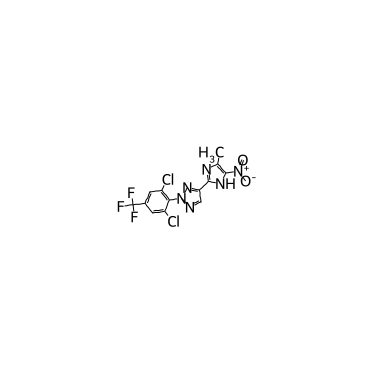 Cc1nc(-c2cnn(-c3c(Cl)cc(C(F)(F)F)cc3Cl)n2)[nH]c1[N+](=O)[O-]